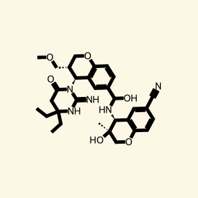 CCC1(CC)CC(=O)N([C@H]2c3cc(C(O)N[C@@H]4c5cc(C#N)ccc5OC[C@@]4(C)O)ccc3OC[C@H]2COC)C(=N)N1